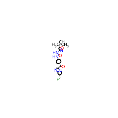 CC(C)(C)c1cc(NC(=O)Nc2ccc(C(=O)c3cnc4cc(CF)ccn34)cc2)no1